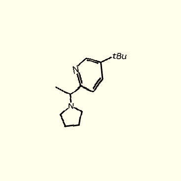 CC(c1ccc(C(C)(C)C)cn1)N1CCCC1